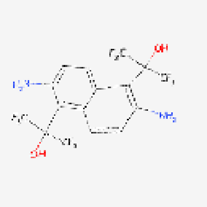 Nc1ccc2c(C(O)(C(F)(F)F)C(F)(F)F)c(N)ccc2c1C(O)(C(F)(F)F)C(F)(F)F